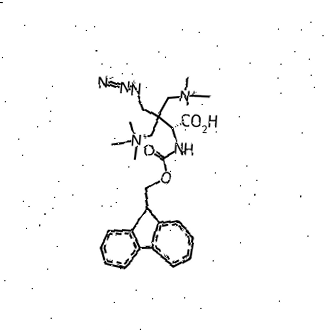 C[N+](C)(C)CC(CN=[N+]=[N-])(C[N+](C)(C)C)[C@@H](NC(=O)OCC1c2ccccc2-c2ccccc21)C(=O)O